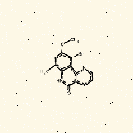 COc1cc(C)c2[nH]c(=O)c3cccnc3c2c1Br